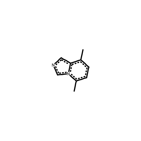 Cc1ccc(C)n2cncc12